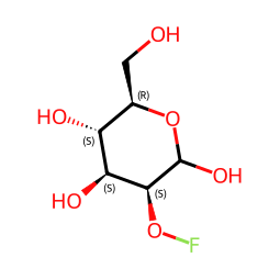 OC[C@H]1OC(O)[C@@H](OF)[C@@H](O)[C@@H]1O